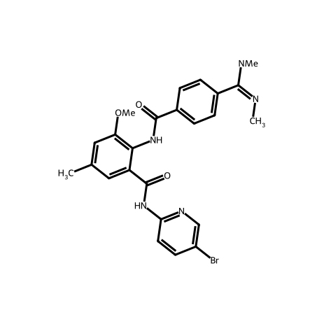 C/N=C(/NC)c1ccc(C(=O)Nc2c(OC)cc(C)cc2C(=O)Nc2ccc(Br)cn2)cc1